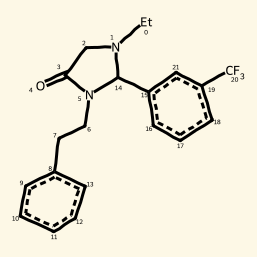 CCN1CC(=O)N(CCc2ccccc2)C1c1cccc(C(F)(F)F)c1